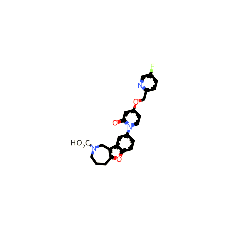 O=C(O)N1CCCc2oc3ccc(-n4ccc(OCc5ccc(F)cn5)cc4=O)cc3c2C1